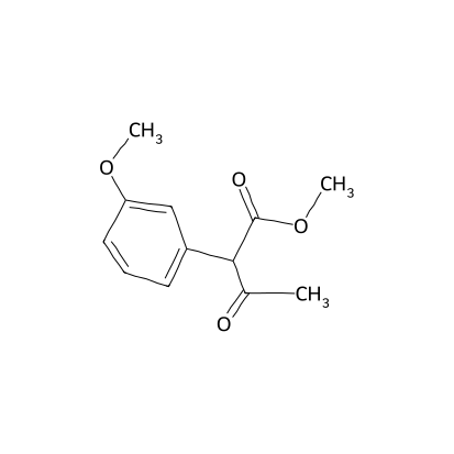 COC(=O)C(C(C)=O)c1cccc(OC)c1